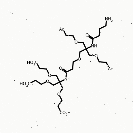 CC(=O)CCOCC(COCCC(C)=O)(COCCC(=O)NC(COCCC(=O)O)(COCCC(=O)O)COCCC(=O)O)NC(=O)CCCN